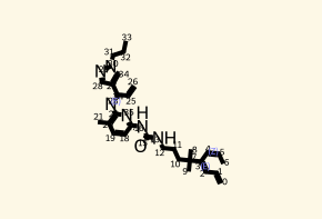 C=C/C=C(\C=C/C)C(C)(C)CCCNC(=O)Nc1ccc(C)c(/N=C(\C=C)c2cnn(CCC)c2)n1